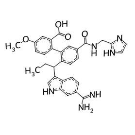 CCC(c1ccc(C(=O)NCc2ncc[nH]2)cc1-c1ccc(OC)cc1C(=O)O)c1c[nH]c2cc(C(=N)N)ccc12